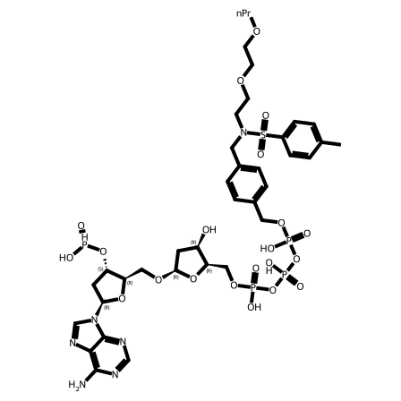 CCCOCCOCCN(Cc1ccc(COP(=O)(O)OP(=O)(O)OP(=O)(O)OC[C@H]2O[C@@H](OC[C@H]3O[C@@H](n4cnc5c(N)ncnc54)C[C@@H]3O[PH](=O)O)C[C@H]2O)cc1)S(=O)(=O)c1ccc(C)cc1